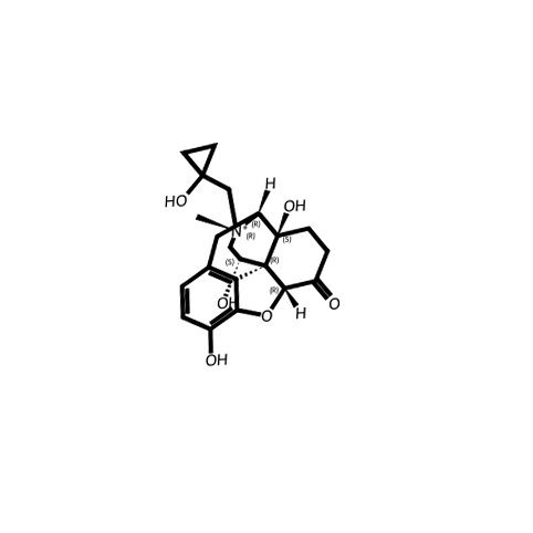 C[N@+]1(CC2(O)CC2)C[C@@H](O)[C@]23c4c5ccc(O)c4O[C@H]2C(=O)CC[C@@]3(O)[C@H]1C5